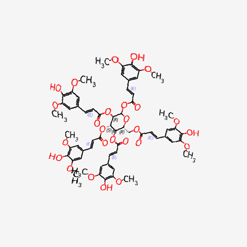 COc1cc(/C=C/C(=O)OC[C@H]2OC(OC(=O)/C=C/c3cc(OC)c(O)c(OC)c3)[C@H](OC(=O)/C=C/c3cc(OC)c(O)c(OC)c3)[C@@H](OC(=O)/C=C/c3cc(OC)c(O)c(OC)c3)[C@@H]2OC(=O)/C=C/c2cc(OC)c(O)c(OC)c2)cc(OC)c1O